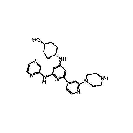 O[C@H]1CC[C@H](Nc2cc(Nc3cnccn3)nc(-c3ccnc(N4CCNCC4)c3)c2)CC1